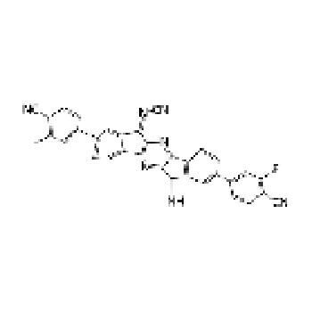 N#C/N=c1/c2cc(-c3ccc(C#N)c(F)c3)ccc2c2nc3c(=N)c4cc(-c5ccc(C#N)c(F)c5)ccc4c3nc12